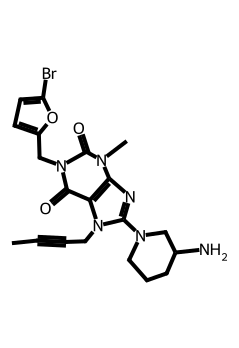 CC#CCn1c(N2CCCC(N)C2)nc2c1c(=O)n(Cc1ccc(Br)o1)c(=O)n2C